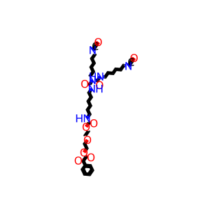 O=C=NCCCCCCNC(=O)N(CCCCCCN=C=O)C(=O)NCCCCCCNC(=O)OCCOCCOC(=O)C(=O)c1ccccc1